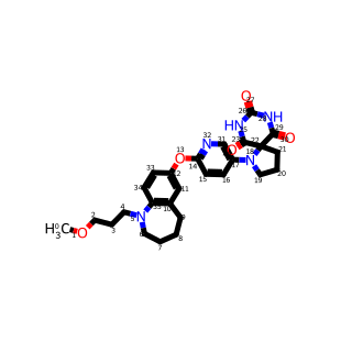 COCCCN1CCCCc2cc(Oc3ccc(N4CCCC45C(=O)NC(=O)NC5=O)cn3)ccc21